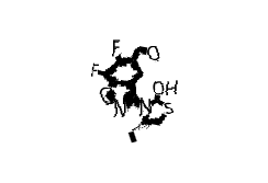 CC[C@H]1CSC(O)N1c1noc2c(F)c(F)c(C=O)cc12